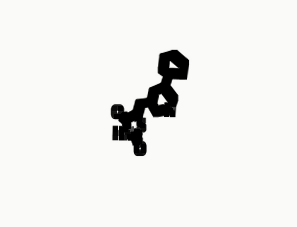 O=C1NC(=O)/C(=C/c2cncc(-c3ccccc3)c2)S1